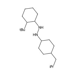 CC(C)CC1CCC(NNC2CCCCC2C(C)(C)C)CC1